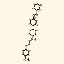 Cc1ccc(CCCN[C@H]2CC[C@H](c3ccc(OCc4ccccc4)cc3)CC2)cc1